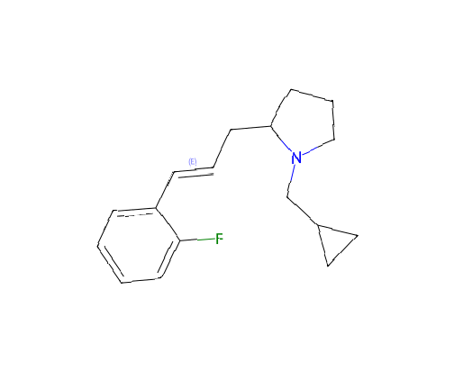 Fc1ccccc1/C=C/CC1CCCN1CC1CC1